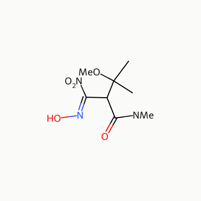 CNC(=O)C(C(=NO)[N+](=O)[O-])C(C)(C)OC